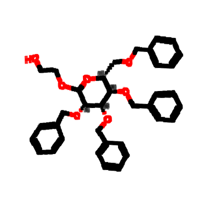 OCCOC1O[C@H](COCc2ccccc2)[C@@H](OCc2ccccc2)[C@H](OCc2ccccc2)[C@@H]1OCc1ccccc1